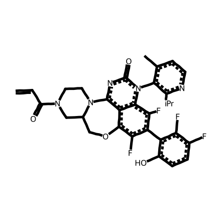 C=CC(=O)N1CCN2c3nc(=O)n(-c4c(C)ccnc4C(C)C)c4c(F)c(-c5c(O)ccc(F)c5F)c(F)c(c34)OCC2C1